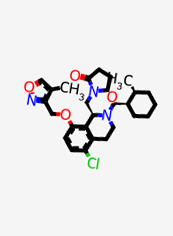 Cc1conc1COc1ccc(Cl)c2c1[C@@H](CN1CCCC1=O)N(C(=O)[C@@H]1CCCC[C@@H]1C)CC2